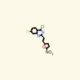 O=[N+]([O-])c1ccc(C=Cc2nc(Cl)c3ccc(F)cc3n2)o1